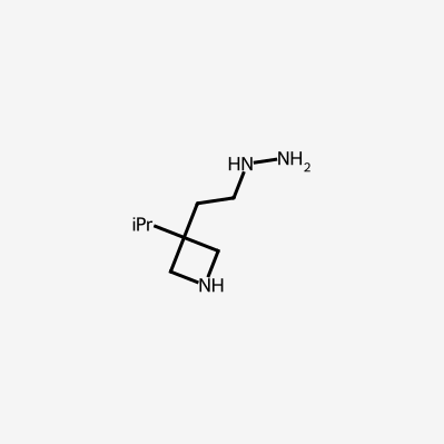 CC(C)C1(CCNN)CNC1